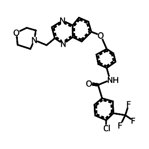 O=C(Nc1ccc(Oc2ccc3ncc(CN4CCOCC4)nc3c2)cc1)c1ccc(Cl)c(C(F)(F)F)c1